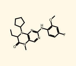 CCC1C(=O)N(C)c2cnc(Nc3ccc(F)cc3OC)nc2N1C1CCCC1